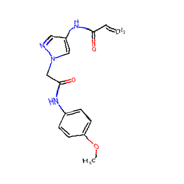 C=CC(=O)Nc1cnn(CC(=O)Nc2ccc(OC)cc2)c1